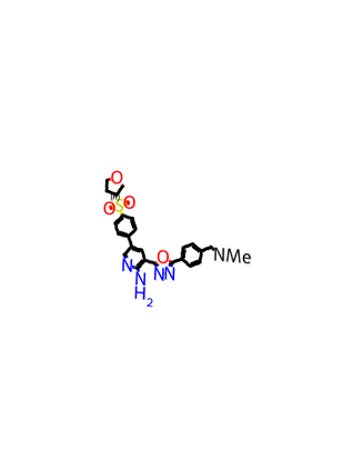 CNCc1ccc(-c2nnc(-c3cc(-c4ccc(S(=O)(=O)[C@@H]5CCOC5)cc4)cnc3N)o2)cc1